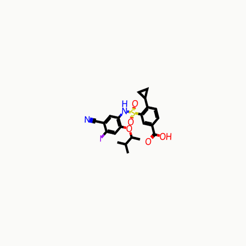 CC(C)C(C)Oc1cc(I)c(C#N)cc1NS(=O)(=O)c1cc(C(=O)O)ccc1C1CC1